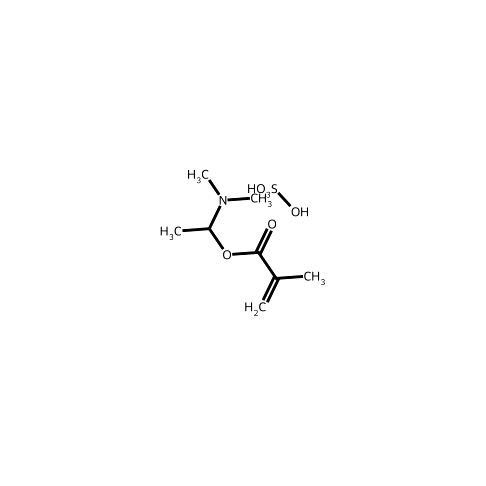 C=C(C)C(=O)OC(C)N(C)C.O=S(=O)(O)O